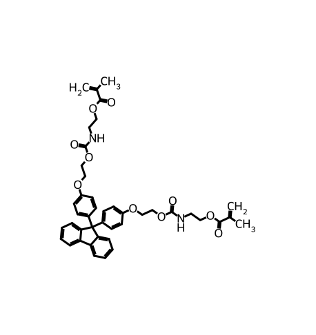 C=C(C)C(=O)OCCNC(=O)OCCOc1ccc(C2(c3ccc(OCCOC(=O)NCCOC(=O)C(=C)C)cc3)c3ccccc3-c3ccccc32)cc1